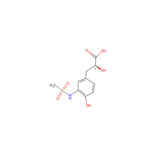 CS(=O)(=O)Nc1cc(C[C@H](O)C(=O)O)ccc1O